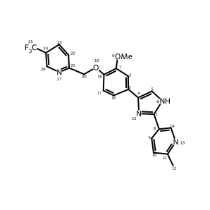 COc1cc(-c2c[nH]c(-c3ccc(C)nc3)n2)ccc1OCc1ccc(C(F)(F)F)cn1